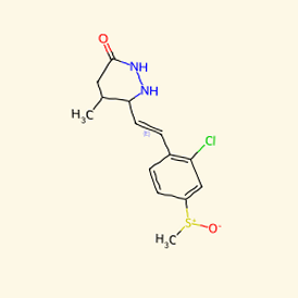 CC1CC(=O)NNC1/C=C/c1ccc([S+](C)[O-])cc1Cl